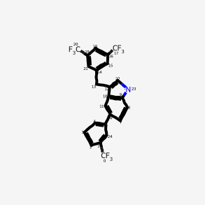 FC(F)(F)c1cccc(-c2ccc3c(c2)C(Cc2cc(C(F)(F)F)cc(C(F)(F)F)c2)=C[N]3)c1